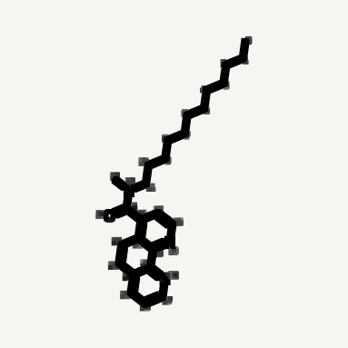 CCCCCCCCCCCCN(C)C(=O)c1ccnc2c1ccc1cccnc12